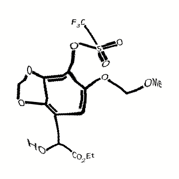 CCOC(=O)C(O)c1cc(OCOC)c(OS(=O)(=O)C(F)(F)F)c2c1OCO2